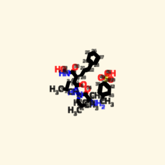 CC(C)C[C@@H](C(=O)NN(CC(C)C)C(=O)C(C)(C)N)[C@H](CC=Cc1ccccc1)C(=O)NO.Cc1ccc(S(=O)(=O)O)cc1